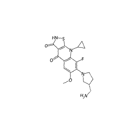 COc1cc2c(=O)c3c(=O)[nH]sc3n(C3CC3)c2c(F)c1N1CCC(CN)C1